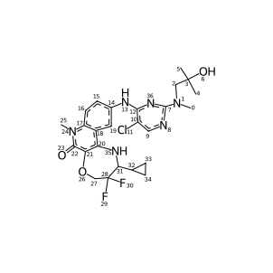 CN(CC(C)(C)O)c1ncc(Cl)c(Nc2ccc3c(c2)c2c(c(=O)n3C)OCC(F)(F)C(C3CC3)N2)n1